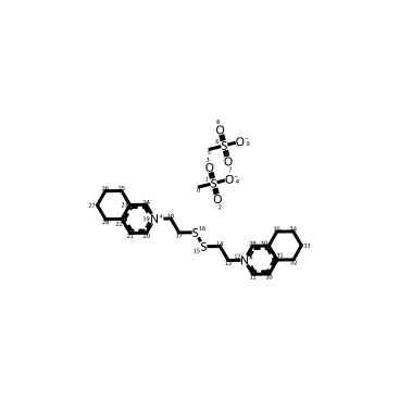 CS(=O)(=O)[O-].CS(=O)(=O)[O-].c1c[n+](CCSSCC[n+]2ccc3c(c2)CCCC3)cc2c1CCCC2